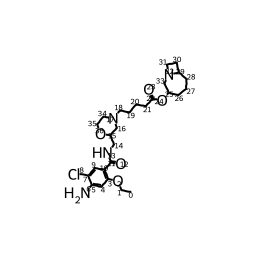 CCOc1cc(N)c(Cl)cc1C(=O)NCC1CN(CCCCC(=O)OC2CCCC3CCN3C2)CCO1